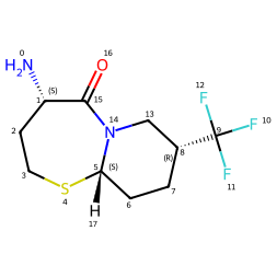 N[C@H]1CCS[C@H]2CC[C@@H](C(F)(F)F)CN2C1=O